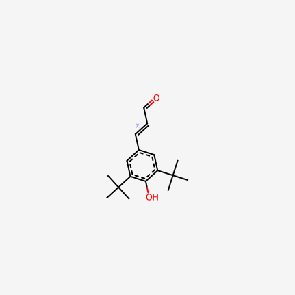 CC(C)(C)c1cc(/C=C/C=O)cc(C(C)(C)C)c1O